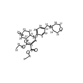 CCOC(=O)C(=CN(c1ccc(CN2CCOCC2)cc1)C1CCN(C)CC1)C(=O)OCC